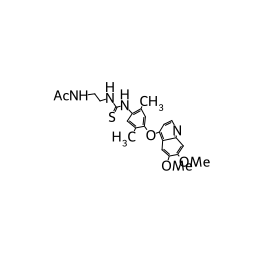 COc1cc2nccc(Oc3cc(C)c(NC(=S)NCCNC(C)=O)cc3C)c2cc1OC